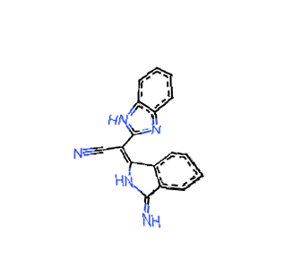 N#C/C(=C1\NC(=N)c2ccccc21)c1nc2ccccc2[nH]1